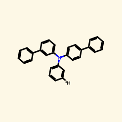 [3H]c1cccc(N(c2ccc(-c3ccccc3)cc2)c2cccc(-c3ccccc3)c2)c1